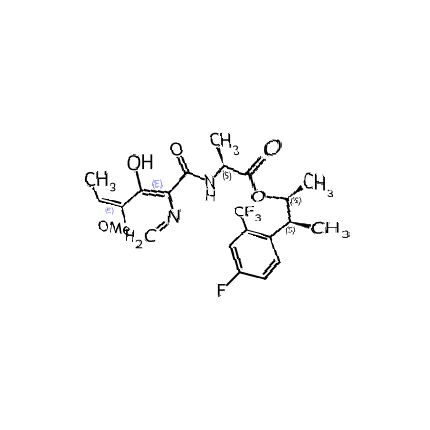 C=N/C(C(=O)N[C@@H](C)C(=O)O[C@@H](C)[C@@H](C)c1ccc(F)cc1C(F)(F)F)=C(O)\C(=C/C)OC